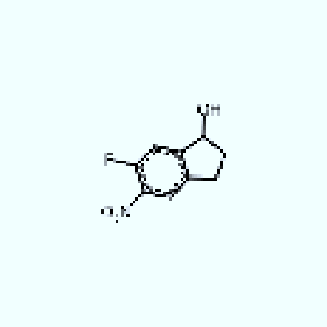 O=[N+]([O-])c1cc2c(cc1F)C(O)CC2